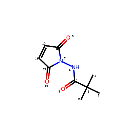 CC(C)(C)C(=O)NN1C(=O)C=CC1=O